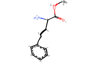 CCCCOC(=O)[C@H](N)CCc1ccccc1